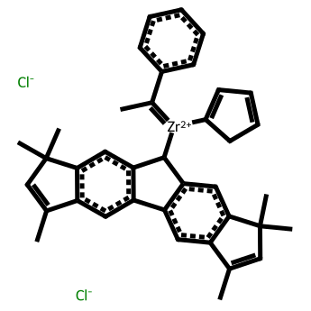 CC1=CC(C)(C)c2cc3c(cc21)-c1cc2c(cc1[CH]3/[Zr+2]([C]1=CC=CC1)=[C](\C)c1ccccc1)C(C)(C)C=C2C.[Cl-].[Cl-]